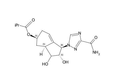 CC(C)C(=O)O[C@H]1CC=C2[C@@H](n3cnc(C(N)=O)n3)[C@H](O)C(O)[C@H]2C1